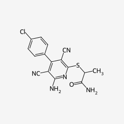 CC(Sc1nc(N)c(C#N)c(-c2ccc(Cl)cc2)c1C#N)C(N)=O